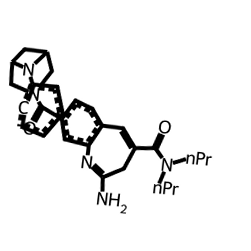 CCCN(CCC)C(=O)C1=Cc2ccc(C(=O)N3CC4CC(C3)N4c3ccccc3)cc2N=C(N)C1